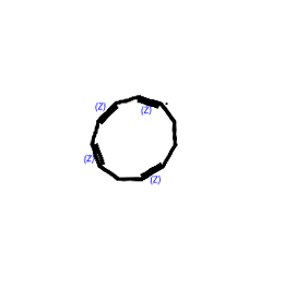 [C]1=C/C=C\C=C/C/C=C\CC\1